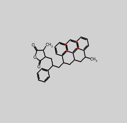 CC(CC(CC(CC(CC1C(=O)OC(=O)C1C)c1ccccc1)c1ccccc1)c1ccccc1)c1ccccc1